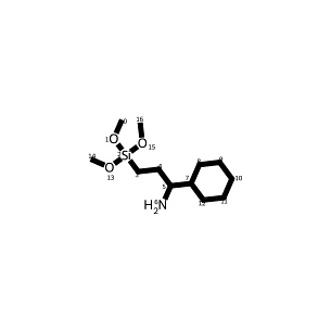 CO[Si](CCC(N)C1CCCCC1)(OC)OC